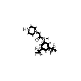 O=C(CN1CCNCC1)Nc1cc(C(F)(F)F)cc(C(F)(F)F)c1